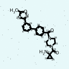 Cc1nc(-c2cccc(-c3ccc(C(=O)N4CCN(C(=O)C5(N)CC5)CC4)cc3)c2)no1